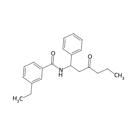 CCCC(=O)CC(NC(=O)c1cccc(CC)c1)c1ccccc1